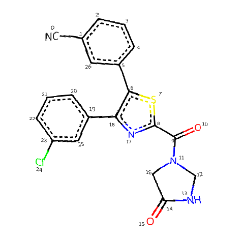 N#Cc1cccc(-c2sc(C(=O)N3CNC(=O)C3)nc2-c2cccc(Cl)c2)c1